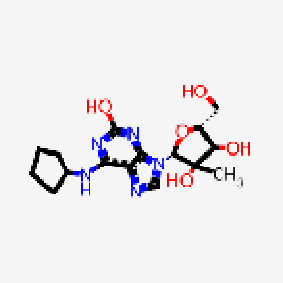 CC1(O)C(O)[C@@H](CO)O[C@H]1n1cnc2c(NC3CCCC3)nc(O)nc21